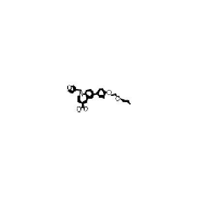 CCCCOCCOc1ccc(-c2ccc3c(c2)C=C(C(=O)OC)CCN3Cc2ccoc2)cc1